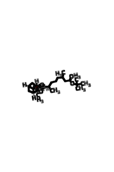 CC(CCC[C@@H](C)B1O[C@@H]2C[C@@H]3C[C@@H](C3(C)C)[C@]2(C)O1)CC(=O)OC(C)(C)C